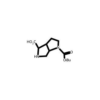 CC(C)COC(=O)N1CCC2C(C(=O)O)NCC21